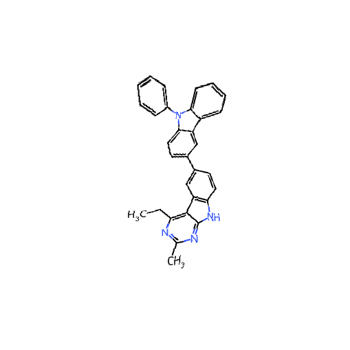 CCc1nc(C)nc2[nH]c3ccc(-c4ccc5c(c4)c4ccccc4n5-c4ccccc4)cc3c12